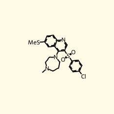 CSc1ccc2ncc(S(=O)(=O)c3ccc(Cl)cc3)c(N3CCCN(C)CC3)c2c1